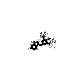 COc1c(C(C)C)cc(/C=C2\C(=O)Nc3cc(F)ccc32)cc1C(C)C